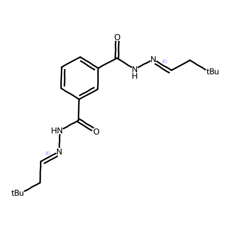 CC(C)(C)C/C=N/NC(=O)c1cccc(C(=O)N/N=C/CC(C)(C)C)c1